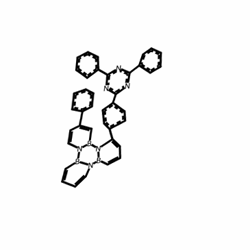 C1=CB2N(C=C1)B1C=CC=C(c3ccc(-c4nc(-c5ccccc5)nc(-c5ccccc5)n4)cc3)N1B1C=C(c3ccccc3)C=CN21